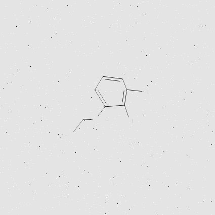 COCOc1cccc(C=O)c1C